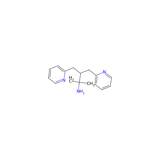 CC(C)(N)C(Cc1ccccn1)Cc1ccccn1